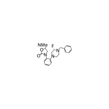 CNC1CN(c2ccccc2N2CCN(Cc3ccccc3)[C@@H](F)C2)C(=O)O1